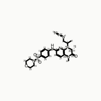 CC(CN=[N+]=[N-])N1c2nc(Nc3ccc(S(=O)(=O)N4CCOCC4)cc3)ccc2N(C)C(=O)[C@H]1C